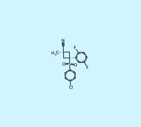 C[C@]1(C#N)C[C@@](c2cc(F)ccc2F)(S(=O)(=O)c2ccc(Cl)cc2)C1